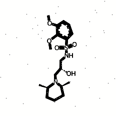 COc1cccc(S(=O)(=O)NC[C@H](O)CN2[C@H](C)CCC[C@@H]2C)c1OC